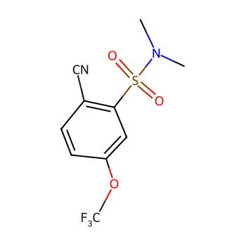 CN(C)S(=O)(=O)c1cc(OC(F)(F)F)ccc1C#N